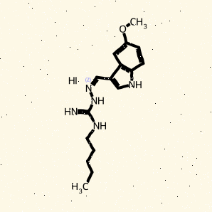 CCCCCNC(=N)N/N=C\c1c[nH]c2ccc(OC)cc12.I